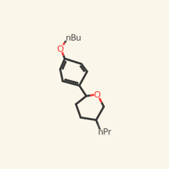 CCCCOc1ccc(C2CCC(CCC)CO2)cc1